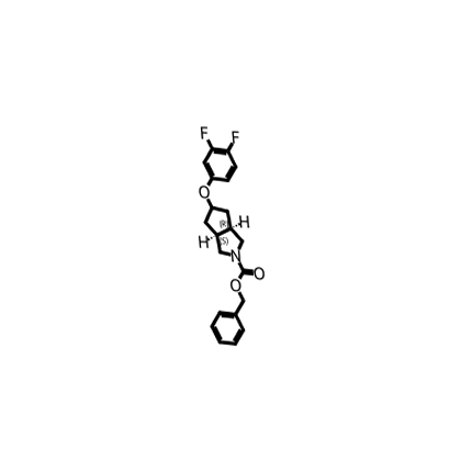 O=C(OCc1ccccc1)N1C[C@H]2CC(Oc3ccc(F)c(F)c3)C[C@H]2C1